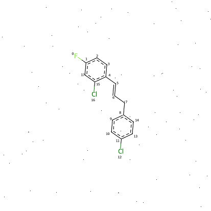 Fc1ccc(/C=C/[CH]c2ccc(Cl)cc2)c(Cl)c1